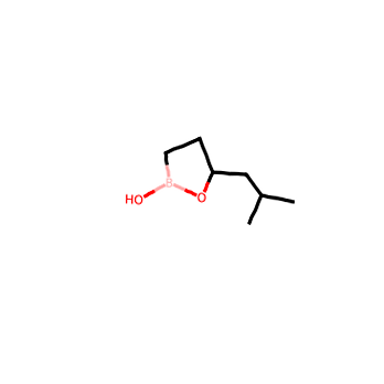 CC(C)CC1CCB(O)O1